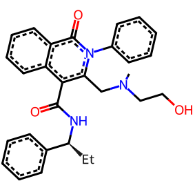 CC[C@H](NC(=O)c1c(CN(C)CCO)n(-c2ccccc2)c(=O)c2ccccc12)c1ccccc1